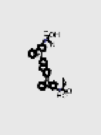 N#C/C(=C\c1ccc2c(c1)c1ccccc1n2-c1ccc2c(c1)Cc1cc(-n3c4ccccc4c4cc(/C=C(\C#N)C(=O)O)ccc43)ccc1-2)C(=O)O